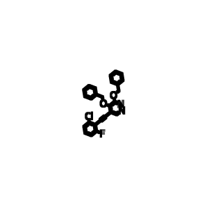 Fc1cccc(Cl)c1C#Cc1cnnc(OCc2ccccc2)c1OCc1ccccc1